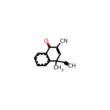 C#CC1(C)C=C(C#N)C(=O)c2ccccc21